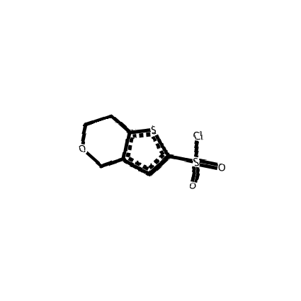 O=S(=O)(Cl)c1cc2c(s1)CCOC2